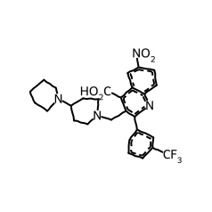 O=C(O)c1c(CN2CCC(N3CCCCC3)CC2)c(-c2cccc(C(F)(F)F)c2)nc2ccc([N+](=O)[O-])cc12